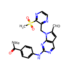 CNC(=O)c1ccc(Nc2ncc3cc(C=O)n(Cc4nccnc4S(C)(=O)=O)c3n2)cc1